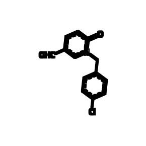 O=Cc1ccc(=O)n(Cc2ccc(Cl)cc2)c1